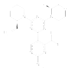 C=C[C@H]1COCCN1c1nc(-c2cnc(N)nc2C(F)F)nc(N2CCOC[C@@H]2C)n1